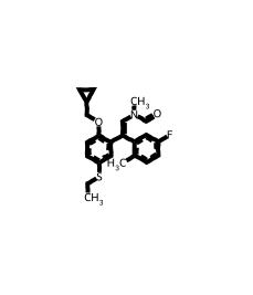 CCSc1ccc(OCC2CC2)c(/C(=C/N(C)C=O)c2cc(F)ccc2C)c1